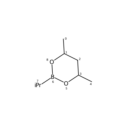 CC1CC(C)OB(C(C)C)O1